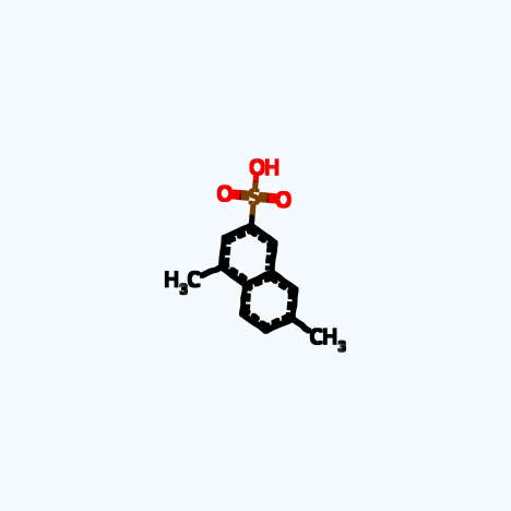 Cc1ccc2c(C)cc(S(=O)(=O)O)cc2c1